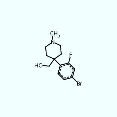 CN1CCC(CO)(c2ccc(Br)cc2F)CC1